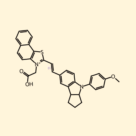 COc1ccc(N2c3ccc(/C=C/c4sc5c6ccccc6ccc5[n+]4CC(=O)O)cc3C3CCCC32)cc1